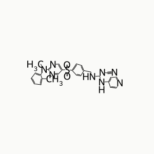 Cc1ccccc1N(C)c1ncc(S(=O)(=O)c2ccc(CNC(=NC#N)Nc3ccncc3)cc2)cn1